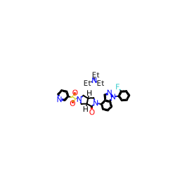 CCN(CC)CC.O=C1[C@@H]2CN(S(=O)(=O)c3cccnc3)C[C@@H]2CN1c1cccc2c1cnn2-c1ccccc1F